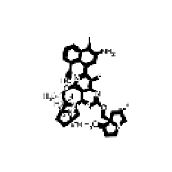 C#Cc1cccc2c(F)c(N)cc(-c3nc4c5c(nc(OCC67C[C@@H](F)CN6CCC7=C)nc5c3F)N3C[C@H]5CC[C@H](N5)[C@H]3[C@H](C)O4)c12